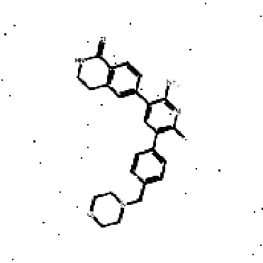 Nc1nc(F)c(-c2ccc(CN3CCOCC3)cc2)cc1-c1ccc2c(c1)CCNC2=O